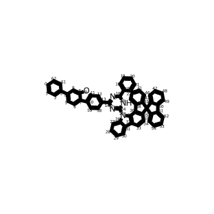 c1ccc(-c2ccc3c(c2)oc2cc(C4=NC(c5ccccc5)NC(n5c6ccccc6c6ccc7c(c65)-c5ccccc5C75c6ccccc6-c6ccccc65)=N4)ccc23)cc1